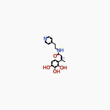 C/C(=C/C(=O)NCCc1ccncc1)c1ccc(O)c(O)c1O